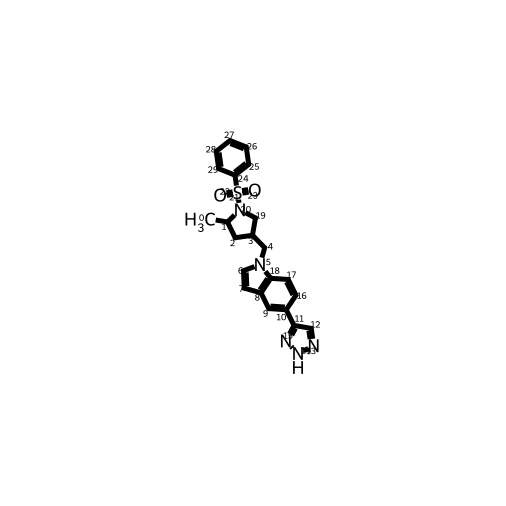 CC1CC(Cn2ccc3cc(-c4cn[nH]n4)ccc32)CN1S(=O)(=O)c1ccccc1